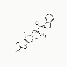 COC(=O)Oc1cc(C)c(C[C@H](N)C(=O)N2CCc3ccccc32)c(C)c1